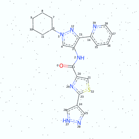 O=C(Nc1cn(C2CCCCC2)nc1-c1ccccn1)c1csc(-c2cn[nH]c2)n1